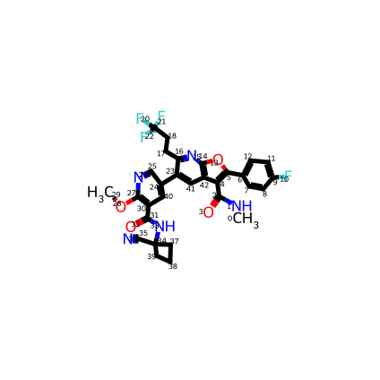 CNC(=O)c1c(-c2ccc(F)cc2)oc2nc(CCC(F)(F)F)c(-c3cnc(OC)c(C(=O)NC4(C#N)CCC4)c3)cc12